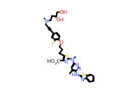 Cc1cc(N(C)c2nc(C(=O)O)c(CCCOc3ccc(C#CCN(C)CC[C@@H](O)CO)cc3F)s2)nnc1Nc1nc2ccccc2s1